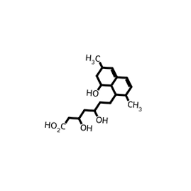 CC1C=C2C=CC(C)C(CCC(O)CC(O)CC(=O)O)C2C(O)C1